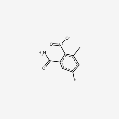 Cc1cc(F)cc(C(N)=O)c1[N+](=O)[O-]